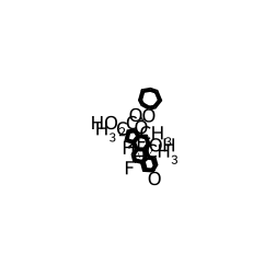 C[C@@H]1C[C@H]2[C@@H]3C[C@H](F)C4=CC(=O)C=C[C@]4(C)C3(F)[C@@H](O)C[C@]2(C)[C@]1(OC(=O)OC1CCCCCCC1)C(=O)O